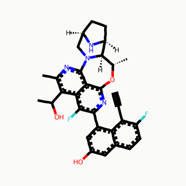 C#Cc1c(F)ccc2cc(O)cc(-c3nc4c5c(nc(C)c(C(C)O)c5c3F)N3C[C@H]5CC[C@H](N5)[C@H]3[C@H](C)O4)c12